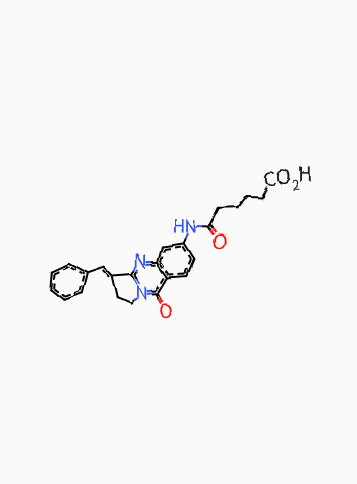 O=C(O)CCCCC(=O)Nc1ccc2c(=O)n3c(nc2c1)/C(=C/c1ccccc1)CC3